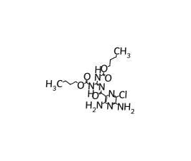 CCCCOC(=O)NC(=NC(=O)c1nc(Cl)c(N)nc1N)NC(=O)OCCCC